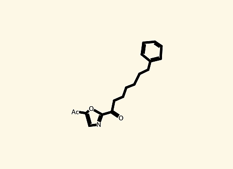 CC(=O)c1cnc(C(=O)CCCCCCc2ccccc2)o1